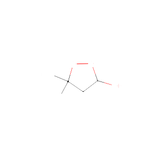 CC1(C)CC(O)OO1